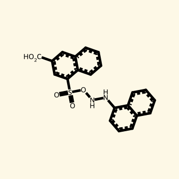 O=C(O)c1cc(S(=O)(=O)ONNc2cccc3ccccc23)c2ccccc2c1